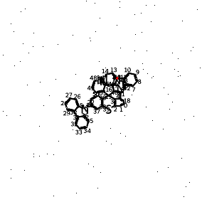 c1cc2c(c(-n3c4ccccc4c4ccncc43)c1)C1(c3ccc(-n4c5ccccc5c5ccccc54)cc3S2)c2cccnc2-c2ncccc21